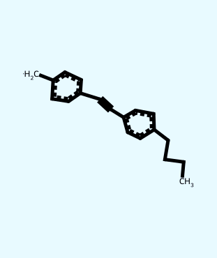 [CH2]c1ccc(C#Cc2ccc(CCCC)cc2)cc1